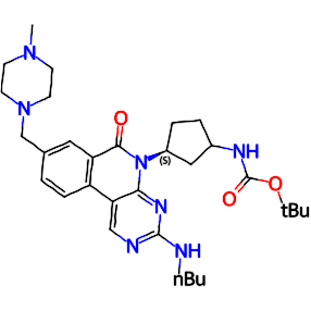 CCCCNc1ncc2c3ccc(CN4CCN(C)CC4)cc3c(=O)n([C@H]3CCC(NC(=O)OC(C)(C)C)C3)c2n1